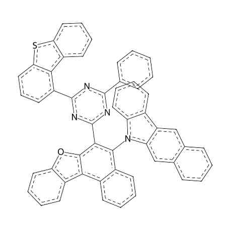 c1ccc(-c2nc(-c3c(-n4c5ccccc5c5cc6ccccc6cc54)c4ccccc4c4c3oc3ccccc34)nc(-c3cccc4sc5ccccc5c34)n2)cc1